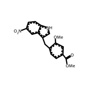 COC(=O)c1ccc(Cc2c[nH]c3ccc([N+](=O)[O-])cc23)c(OC)c1